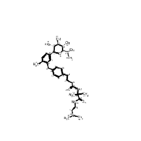 Cc1ccc([C@@H]2O[C@H]([S+](C)[O-])[C@@H](O)[C@H](O)[C@H]2O)cc1Cc1ccc(CCCC(=O)NC(C)(C)C(=O)NCCN(C)C)cc1